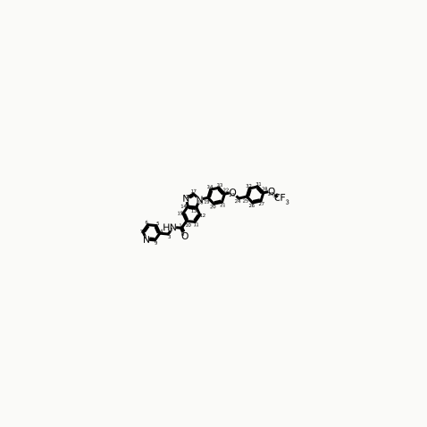 O=C(NCc1cccnc1)c1ccc2c(c1)ncn2-c1ccc(OCc2ccc(OC(F)(F)F)cc2)cc1